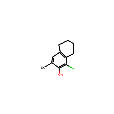 N#Cc1cc2c(c(Cl)c1O)CCCC2